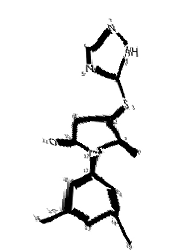 C=C1C(Sc2ncn[nH]2)CC(=O)N1c1cc(C)cc(C)c1